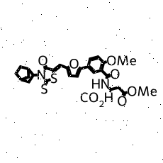 COC(=O)C[C@H](NC(=O)c1cc(-c2ccc(/C=C3\SC(=S)N(C4CC5CCC4C5)C3=O)o2)ccc1OC)C(=O)O